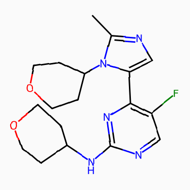 Cc1ncc(-c2nc(NC3CCOCC3)ncc2F)n1C1CCOCC1